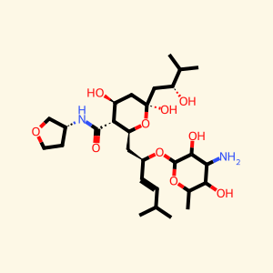 CC(C)/C=C/[C@@H](C[C@@H]1O[C@](O)(C[C@@H](O)C(C)C)C[C@H](O)[C@H]1C(=O)N[C@@H]1CCOC1)OC1OC(C)C(O)C(N)C1O